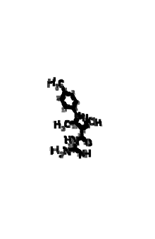 Cc1ccc(-n2ncc(C(=O)NC(=N)N)c2C)cc1.Cl